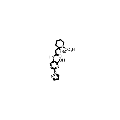 CC(C)(C)C1(CC(=O)Nc2cnc(-n3cccn3)nc2O)CCCCN1C(=O)O